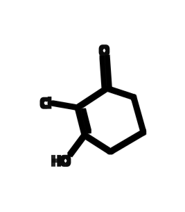 O=C1CCCC(O)=C1Cl